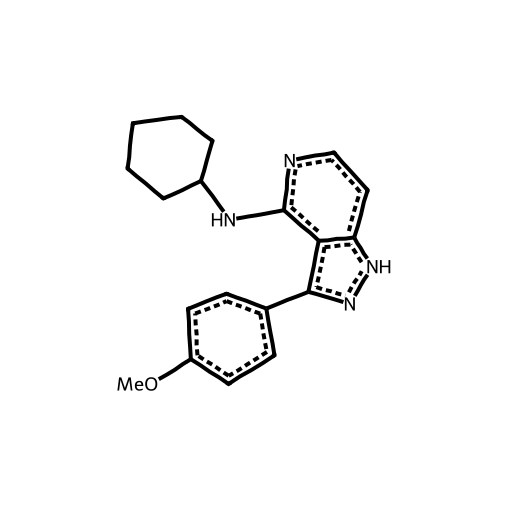 COc1ccc(-c2n[nH]c3ccnc(NC4CCCCC4)c23)cc1